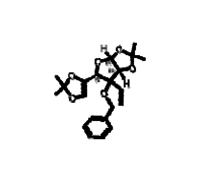 C=CC1(OCc2ccccc2)[C@@H](C2=COC(C)(C)O2)O[C@@H]2OC(C)(C)O[C@@H]21